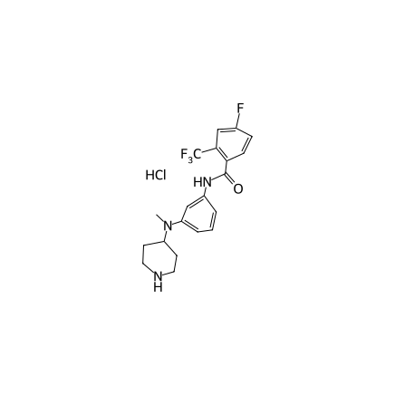 CN(c1cccc(NC(=O)c2ccc(F)cc2C(F)(F)F)c1)C1CCNCC1.Cl